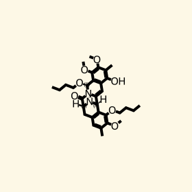 CCCCOc1c(OC)c(C)cc2c1[C@@H]1C3=Cc4c(O)c(C)c(OC)c(OC)c4[C@H](OCCCC)N3C(=O)[C@@H](C2)N1C